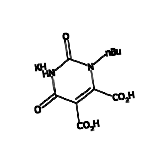 CCCCn1c(C(=O)O)c(C(=O)O)c(=O)[nH]c1=O.[KH]